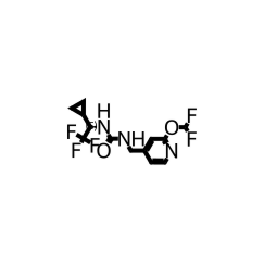 O=C(NCc1ccnc(OC(F)F)c1)N[C@@H](C1CC1)C(F)(F)F